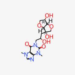 Cn1cnc2c1c(=O)n(CC(O)C[C@]1(O)CO[C@@H]3[C@H](O)CO[C@@H]31)c(=O)n2C